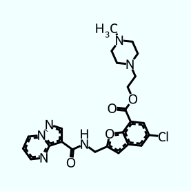 CN1CCN(CCOC(=O)c2cc(Cl)cc3cc(CNC(=O)c4cnn5cccnc45)oc23)CC1